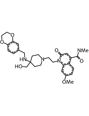 CNC(=O)c1cc(=O)n(CCN2CCC(CO)(NCc3ccc4c(c3)OCCO4)CC2)c2cc(OC)ccc12